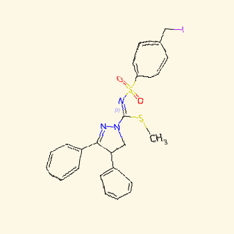 CS/C(=N\S(=O)(=O)c1ccc(CI)cc1)N1CC(c2ccccc2)C(c2ccccc2)=N1